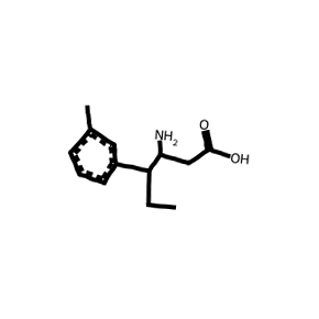 CCC(c1cccc(C)c1)C(N)CC(=O)O